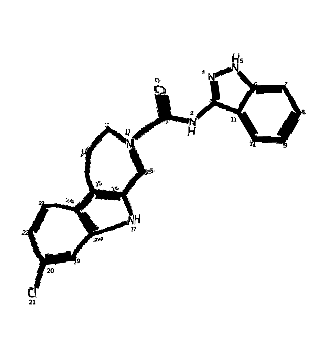 O=C(Nc1n[nH]c2ccccc12)N1CCc2c([nH]c3cc(Cl)ccc23)C1